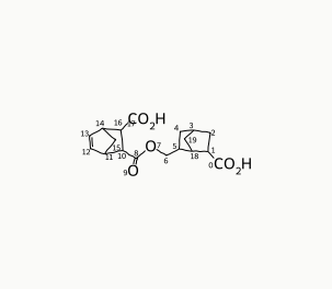 O=C(O)C1CC2CC(COC(=O)C3C4C=CC(C4)C3C(=O)O)C1C2